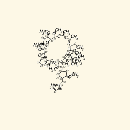 CCC1/C=C(\C)CC(C)CC(OC)C2OC(O)(C(=O)C(=O)N3CCCCC3C(=O)OC(C(C)=CC3CCC(Cc4ncc[nH]4)C(OC)C3)C(C)C(O[Si](C)(C)C(C)(C)C)CC1=O)C(C)CC2OC